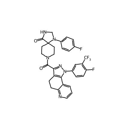 O=C(c1nn(-c2ccc(F)c(C(F)(F)F)c2)c2c1CCc1ncccc1-2)N1CCC2(CC1)C(=O)NCN2c1ccc(F)cc1